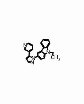 CCn1c2ccccc2c2cc(-n3nccc3-c3cccnc3)ccc21